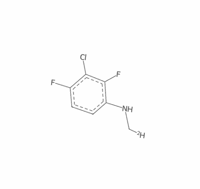 [2H]CNc1ccc(F)c(Cl)c1F